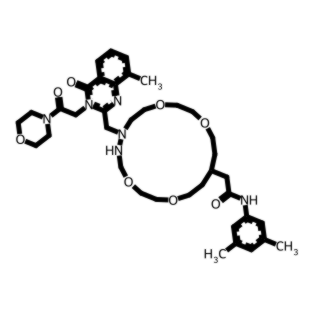 Cc1cc(C)cc(NC(=O)CC2CCOCCOCCN(Cc3nc4c(C)cccc4c(=O)n3CC(=O)N3CCOCC3)NCOCCOCC2)c1